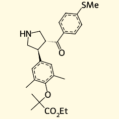 CCOC(=O)C(C)(C)Oc1c(C)cc([C@H]2CNC[C@@H]2C(=O)c2ccc(SC)cc2)cc1C